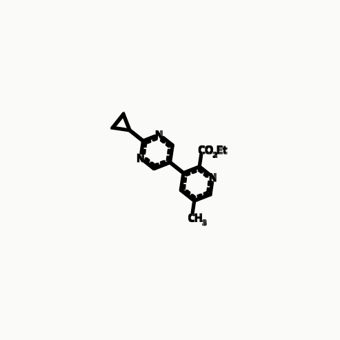 CCOC(=O)c1ncc(C)cc1-c1cnc(C2CC2)nc1